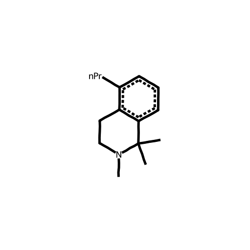 CCCc1cccc2c1CCN(C)C2(C)C